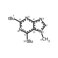 Cn1cnc2nc(C(C)(C)C)nc(C(C)(C)C)c21